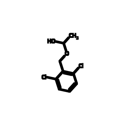 CC(O)OCc1c(Cl)cccc1Cl